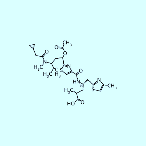 CC(=O)OC(CC(C(C)C)N(C)C(=O)CC1CC1)c1nc(C(=O)N[C@@H](Cc2nc(C)cs2)CC(C)C(=O)O)cs1